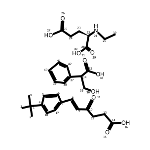 CC(C)(C)c1ccc(C=CC(=O)CCC(=O)O)cc1.CCN[C@H](CCC(=O)O)C(=O)O.O=C(O)C(CO)c1ccccc1